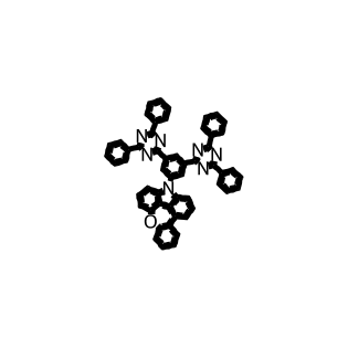 c1ccc(-c2nc(-c3ccccc3)nc(-c3cc(-c4nc(-c5ccccc5)nc(-c5ccccc5)n4)cc(-n4c5cccc6oc7ccccc7c7cccc4c7c65)c3)n2)cc1